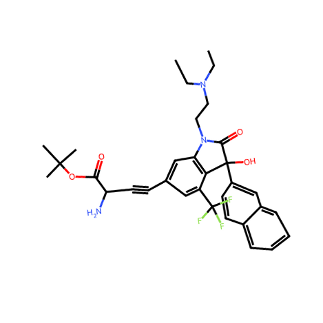 CCN(CC)CCN1C(=O)C(O)(c2ccc3ccccc3c2)c2c1cc(C#CC(N)C(=O)OC(C)(C)C)cc2C(F)(F)F